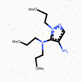 COCCN(CCOC)c1c(N)cnn1CCOC